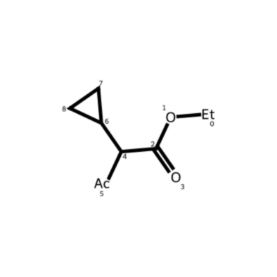 CCOC(=O)C(C(C)=O)C1CC1